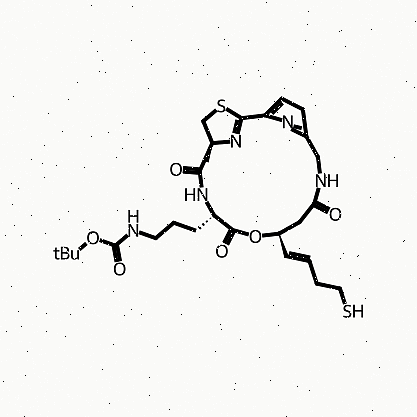 CC(C)(C)OC(=O)NCCC[C@@H]1NC(=O)[C@]2(C)CSC(=N2)C2=CCC(=N2)CNC(=O)C[C@@H](/C=C/CCS)OC1=O